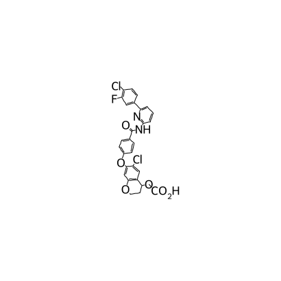 O=C(O)OC1CCOc2cc(Oc3ccc(C(=O)Nc4cccc(-c5ccc(Cl)c(F)c5)n4)cc3)c(Cl)cc21